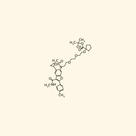 CNC(=O)c1c(-c2ccc(C)cc2)oc2cc(N(CCOCCOCCOC3(C(=O)OC(C)(C)C)CCCC3)S(C)(=O)=O)c(C3CC3)cc12